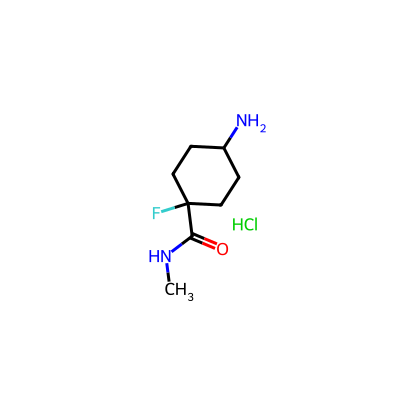 CNC(=O)C1(F)CCC(N)CC1.Cl